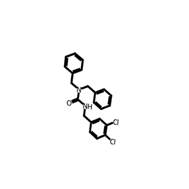 O=C(NCc1ccc(Cl)c(Cl)c1)N(Cc1ccccc1)Cc1ccccc1